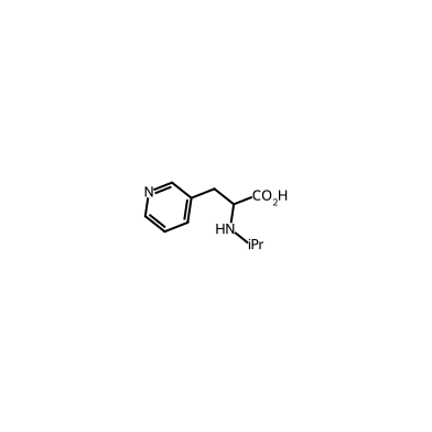 CC(C)NC(Cc1cccnc1)C(=O)O